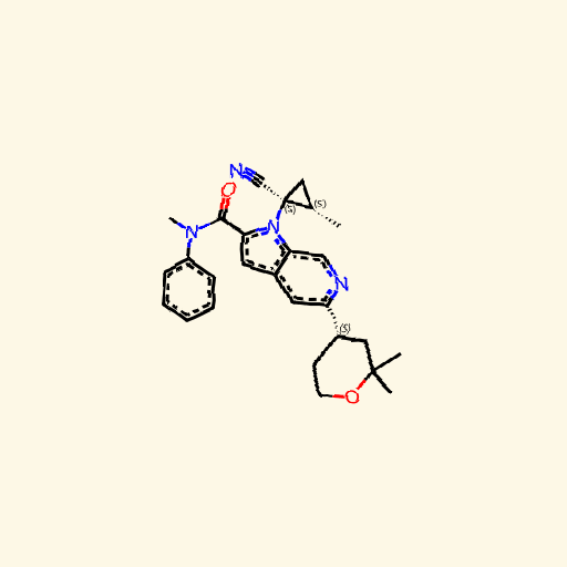 C[C@H]1C[C@]1(C#N)n1c(C(=O)N(C)c2ccccc2)cc2cc([C@H]3CCOC(C)(C)C3)ncc21